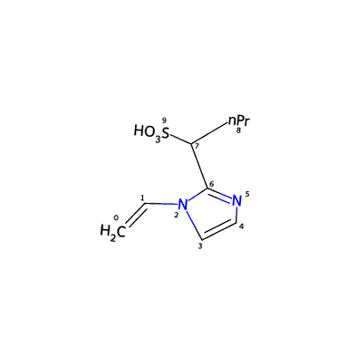 C=Cn1ccnc1C(CCC)S(=O)(=O)O